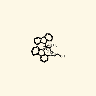 C[C](C)=[Zr]([Cl])([Cl])([CH]1c2ccccc2-c2ccccc21)[CH]1c2ccccc2-c2cccc(OCCO)c21